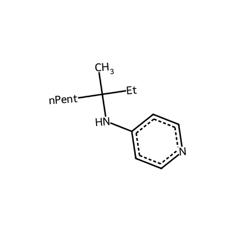 CCCCCC(C)(CC)Nc1ccncc1